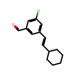 O=Cc1cc(Cl)cc(/C=C/C2CCCCC2)c1